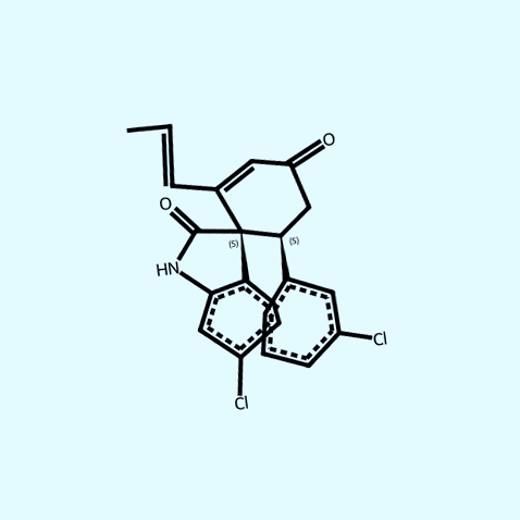 CC=CC1=CC(=O)C[C@@H](c2cccc(Cl)c2)[C@]12C(=O)Nc1cc(Cl)ccc12